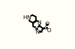 O=S(=O)=C1C=NN2CC3=C(CCNC3)N=C12